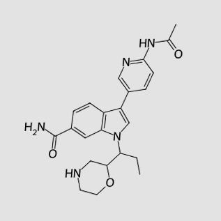 CCC(C1CNCCO1)n1cc(-c2ccc(NC(C)=O)nc2)c2ccc(C(N)=O)cc21